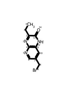 CCc1nc2ncc(CBr)cc2[nH]c1=O